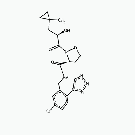 CC1(C[C@@H](O)C(=O)N2OCC[C@H]2C(=O)NCc2cc(Cl)ccc2-n2cnnn2)CC1